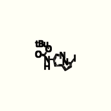 CC(C)(C)OC(=O)Nc1cnn2c(I)ccc2c1